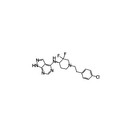 FC1(F)CN(CCc2ccc(Cl)cc2)CC[C@H]1Nc1ncnc2[nH]ncc12